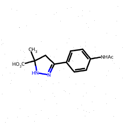 CC(=O)Nc1ccc(C2=NNC(C)(C(=O)O)C2)cc1